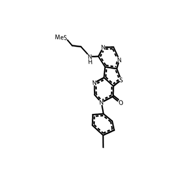 CSCCNc1ncnc2sc3c(=O)n(-c4ccc(C)cc4)cnc3c12